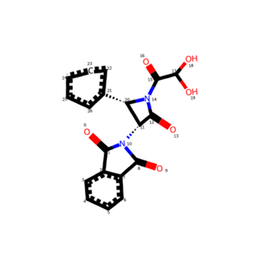 O=C1c2ccccc2C(=O)N1[C@H]1C(=O)N(C(=O)C(O)O)[C@H]1c1ccccc1